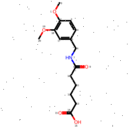 COc1ccc(CNC(=O)CCCCC(=O)O)cc1OC